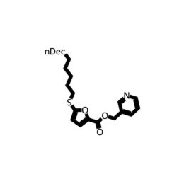 CCCCCCCCCCCCCCCSc1ccc(C(=O)OCc2cccnc2)o1